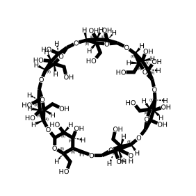 OC[C@H]1OC2O[C@@H]3[C@H](O)[C@@H](O)C(O[C@@H]4[C@H](O)[C@@H](O)C(O[C@@H]5[C@H](O)[C@@H](O)C(O[C@@H]6[C@H](O)[C@@H](O)C(O[C@@H]7[C@H](O)[C@@H](O)C(O[C@H]8[C@H](O)C(O)C(O[C@@H]1[C@H](O)[C@H]2O)O[C@@H]8CO)O[C@@H]7CO)O[C@@H]6CO)O[C@@H]5CO)O[C@@H]4CO)O[C@@H]3CO